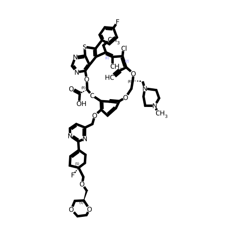 C#C/C1=C(Cl)\C(C)=C(/CC)c2c(-c3ccc(F)cc3)sc3ncnc(c23)O[C@@H](C(=O)O)Cc2cc(ccc2OCc2ccnc(C3=CC[C@](F)(COC[C@@H]4COCCO4)CC3)n2)OC[C@@H](CN2CCN(C)CC2)O1